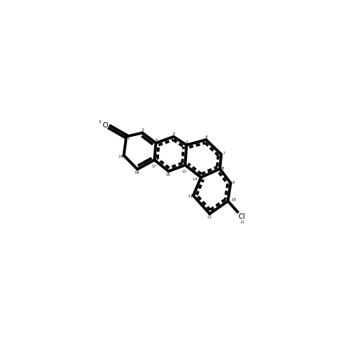 O=C1C=c2cc3ccc4cc(Cl)ccc4c3cc2=CC1